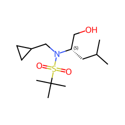 CC(C)C[C@@H](CO)N(CC1CC1)S(=O)(=O)C(C)(C)C